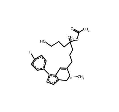 CC(=O)O[C@@](C)(CCCO)CCCC1=Cc2c(cnn2-c2ccc(F)cc2)C[C@H]1C